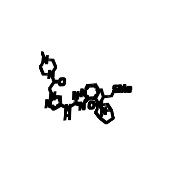 CSCC(C)C(=O)N1C2CCC1CN(c1cccn3nc(Nc4cnn(CC(=O)N5CCN(C)CC5)c4)nc13)C2